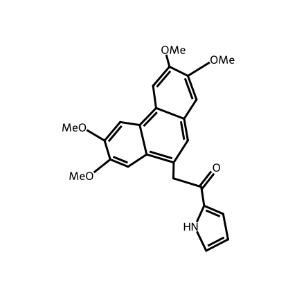 COc1cc2cc(CC(=O)c3ccc[nH]3)c3cc(OC)c(OC)cc3c2cc1OC